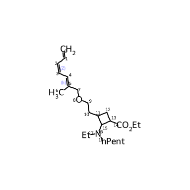 C=C/C=C\C=C(/C)COCCC1CC(C(=O)OCC)C1N(CC)CCCCC